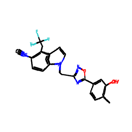 [C-]#[N+]c1ccc2c(ccn2Cc2noc(-c3ccc(C)c(O)c3)n2)c1C(F)(F)F